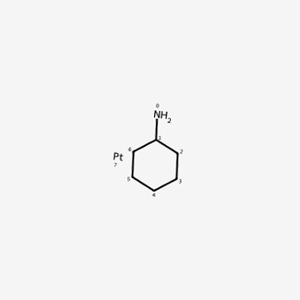 NC1CCCCC1.[Pt]